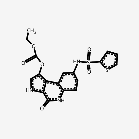 CCOC(=O)Oc1c[nH]c2c(=O)[nH]c3ccc(NS(=O)(=O)c4cccs4)cc3c12